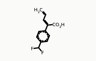 C=CC=C(C(=O)O)c1ccc(C(F)F)cc1